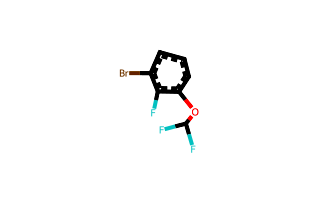 Fc1c(Br)cccc1OC(F)F